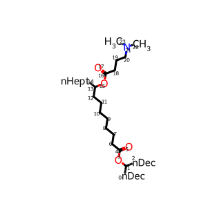 CCCCCCCCCCC(CCCCCCCCCC)OC(=O)CCCCCCCC(CCCCCCC)OC(=O)CCCN(C)C